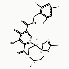 CC1=NO[C@@]2(CC[C@H](C)N3C[C@H]2n2cc(C(=O)NCc4c(F)cc(F)cc4F)c(=O)c(O)c2C3=O)S1